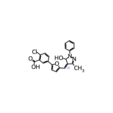 CC1=NN(c2ccccc2)C(O)/C1=C\c1ccc(-c2ccc(Cl)c(C(=O)O)c2)o1